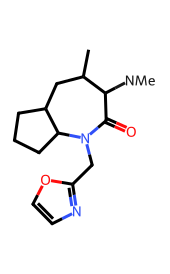 CNC1C(=O)N(Cc2ncco2)C2CCCC2CC1C